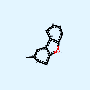 Cc1[c]c2c(cc1)oc1ccccc12